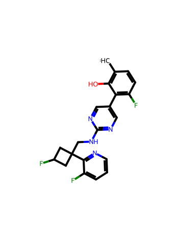 [CH]c1ccc(F)c(-c2cnc(NCC3(c4ncccc4F)CC(F)C3)nc2)c1O